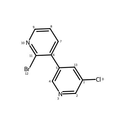 Clc1cncc(-c2cccnc2Br)c1